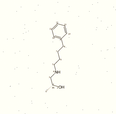 C[C@@H](O)CNCCCCc1ccccc1